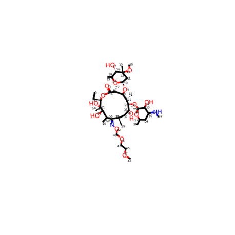 CC[C@H]1OC(=O)[C@H](C)C(O[C@H]2C[C@@](C)(OC)[C@@H](O)C(C)O2)[C@H](C)[C@@H](OC2OC(C)CC(NC)C2O)C(O)C[C@@H](C)/C(=N\OCOCCOC)C(C)C(O)[C@]1(C)O